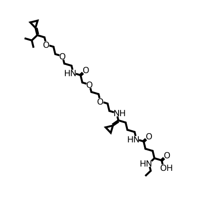 CCNC(CCC(=O)NCCCC(NCCOCCOCC(=O)NCCOCCOCC(=C1CC1)C(C)C)=C1CC1)C(=O)O